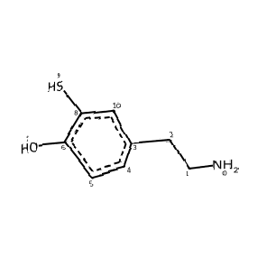 NCCc1ccc(O)c(S)c1